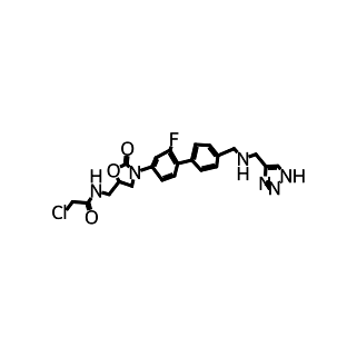 O=C(CCl)NCC1CN(c2ccc(-c3ccc(CNCc4c[nH]nn4)cc3)c(F)c2)C(=O)O1